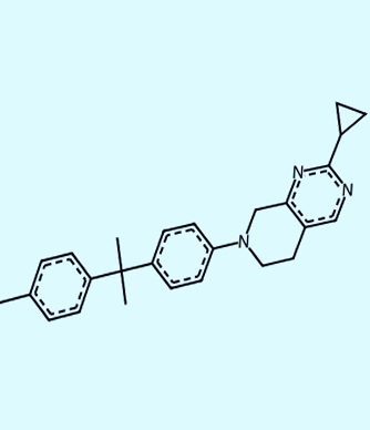 Cc1ccc(C(C)(C)c2ccc(N3CCc4cnc(C5CC5)nc4C3)cc2)cc1